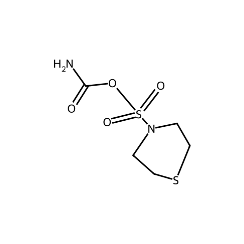 NC(=O)OS(=O)(=O)N1CCSCC1